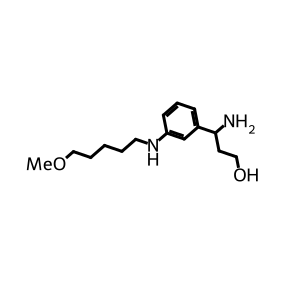 COCCCCCNc1cccc(C(N)CCO)c1